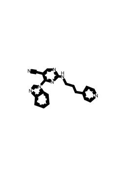 N#Cc1cnc(NCCCc2ccncc2)nc1-n1cnc2ccccc21